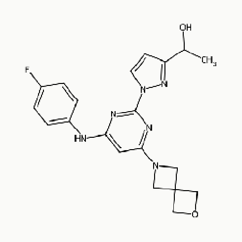 CC(O)c1ccn(-c2nc(Nc3ccc(F)cc3)cc(N3CC4(COC4)C3)n2)n1